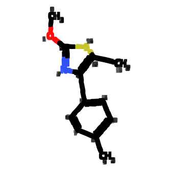 COc1nc(-c2ccc(C)cc2)c(C)s1